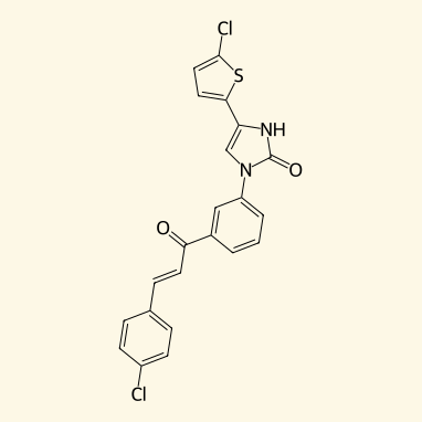 O=C(C=Cc1ccc(Cl)cc1)c1cccc(-n2cc(-c3ccc(Cl)s3)[nH]c2=O)c1